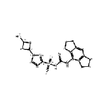 O=C(Nc1c2c(cc3c1CCC3)CCC2)NS(=O)(=O)c1ccn(C2CC(O)C2)n1